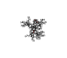 CCCC[Si](CCCC)(CCCC)c1ccc(P(c2ccc([Si](CCCC)(CCCC)CCCC)cc2)N(C2Cc3ccccc3C2)P(c2cccc([Si](CCCC)(CCCC)CCCC)c2)c2cccc([Si](CCCC)(CCCC)CCCC)c2)cc1